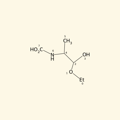 CCOC(O)C(C)NC(=O)O